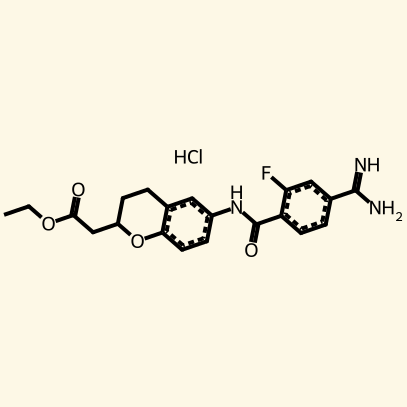 CCOC(=O)CC1CCc2cc(NC(=O)c3ccc(C(=N)N)cc3F)ccc2O1.Cl